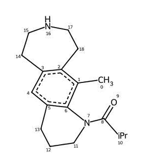 Cc1c2c(cc3c1N(C(=O)C(C)C)CCC3)CCNCC2